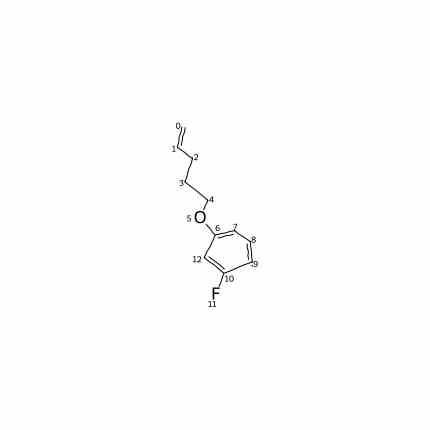 C=CCCCOc1cc[c]c(F)c1